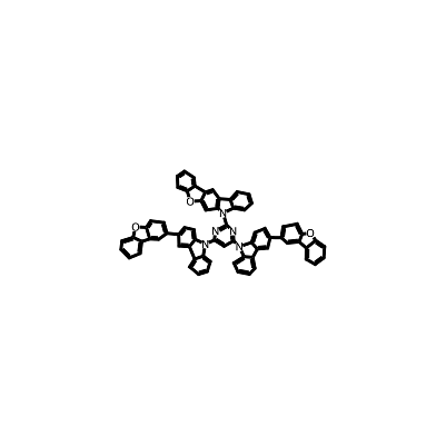 c1ccc2c(c1)oc1ccc(-c3ccc4c(c3)c3ccccc3n4-c3cc(-n4c5ccccc5c5cc(-c6ccc7oc8ccccc8c7c6)ccc54)nc(-n4c5ccccc5c5cc6c(cc54)oc4ccccc46)n3)cc12